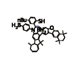 Bc1ccc(N2/C(c3cc(CCCC)ccc3S)=C\c3cc4oc5cc6c(cc5c4cc3-c3c(B)c2cc2c3C(C)(C)C3=CC=CCC(C)C32)C(C)(C)CCC6(C)C)cc1